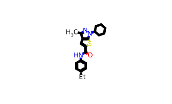 CCc1ccc(NC(=O)c2cc3c(C)nn(C4CCCCC4)c3s2)cc1